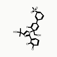 CC(C)(O)c1cn(C2(CO)C=CC(c3cccc(S(C)(=O)=O)c3)C=C2F)c(-c2cccc(Cl)c2Cl)n1